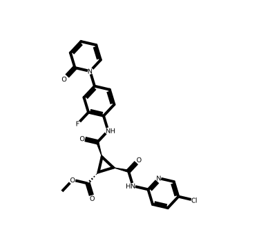 COC(=O)[C@H]1[C@H](C(=O)Nc2ccc(Cl)cn2)[C@@H]1C(=O)Nc1ccc(-n2ccccc2=O)cc1F